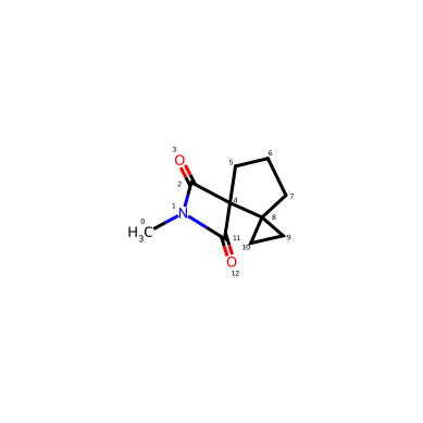 CN1C(=O)C2(CCCC23CC3)C1=O